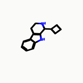 c1ccc2c3c([nH]c2c1)C(C1CCC1)NCC3